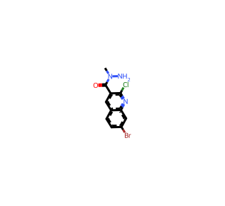 CN(N)C(=O)c1cc2ccc(Br)cc2nc1Cl